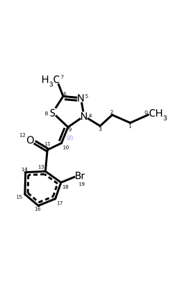 CCCCN1N=C(C)S/C1=C\C(=O)c1ccccc1Br